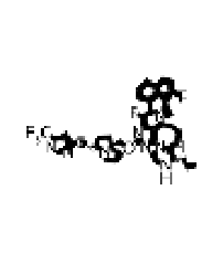 C#Cc1c(F)ccc2cccc(-c3nc4c5c(nc(OC[C@@]67CCCN6[C@H](CSc6cc(C(F)(F)F)ncn6)CC7)nc5c3F)N3CCN[C@@H](CC=C)[C@H]3CCC4)c12